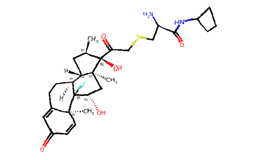 C[C@@H]1C[C@H]2[C@@H]3CCC4=CC(=O)C=C[C@]4(C)[C@@]3(F)[C@@H](O)C[C@]2(C)[C@@]1(O)C(=O)CSCC(N)C(=O)NC1CCC1